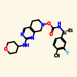 CC[C@@H](NC(=O)ON1CCc2cnc(NC3CCOCC3)nc2C1)c1ccc(C#N)c(F)c1